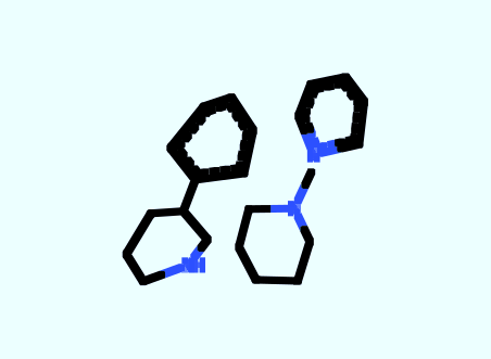 CN1CCCCC1.c1ccc(C2CCCNC2)cc1.c1ccncc1